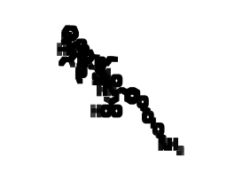 CCCO[C@H](C[C@H](C(C)C)N(COCC)C(=O)[C@@H](NC(=O)[C@H]1CCCCN1C)[C@@H](C)CC)c1nc(C(=O)N[C@@H](Cc2ccc(OCCOCCOCCN)cc2)C[C@H](C)C(=O)O)cs1